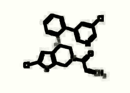 C=CC(=O)N1Cc2sc(Cl)cc2[C@H](c2ccccc2-c2cncc(Cl)c2)C1